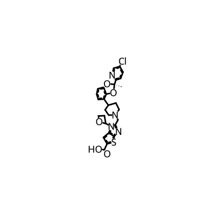 C[C@@]1(c2ccc(Cl)cn2)Oc2cccc(C3CCN(Cc4nc5sc(C(=O)O)cc5n4C4CCO4)CC3)c2O1